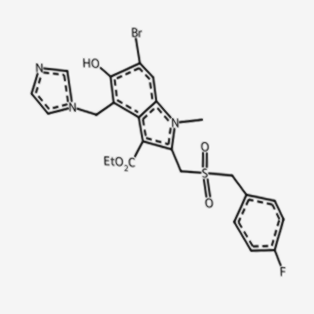 CCOC(=O)c1c(CS(=O)(=O)Cc2ccc(F)cc2)n(C)c2cc(Br)c(O)c(Cn3ccnc3)c12